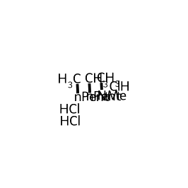 CCCCCC.CCCCCC.CNC.Cl.Cl.Cl